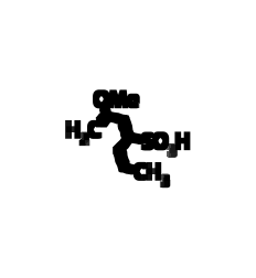 C=C(/C=C(\C=C/C)S(=O)(=O)O)OC